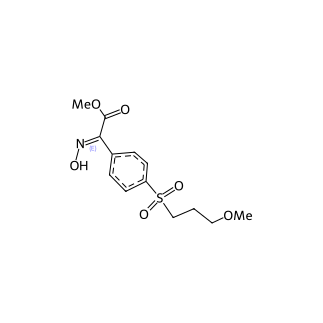 COCCCS(=O)(=O)c1ccc(/C(=N\O)C(=O)OC)cc1